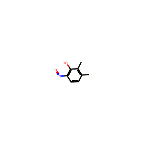 Cc1ccc(N=O)c(O)c1C